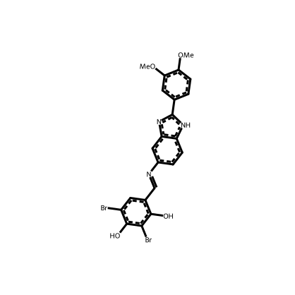 COc1ccc(-c2nc3cc(/N=C/c4cc(Br)c(O)c(Br)c4O)ccc3[nH]2)cc1OC